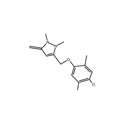 C=C1C=C(COc2cc(C)c(Cl)cc2C)N(C)N1C